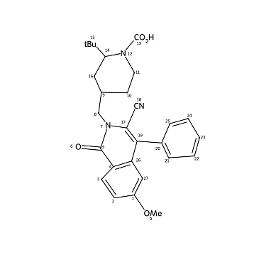 COc1ccc2c(=O)n(CC3CCN(C(=O)O)C(C(C)(C)C)C3)c(C#N)c(-c3ccccc3)c2c1